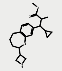 COC(=O)C(C)C(c1ccc2c(c1)OC(C1CNC1)CCC2)C1CC1